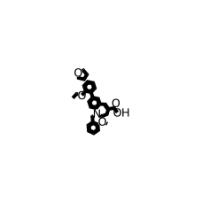 C1CCOC1.CCOc1ccccc1-c1ccc2c(c1)C=C(C(=O)O)CCN2Cc1ccccc1OC